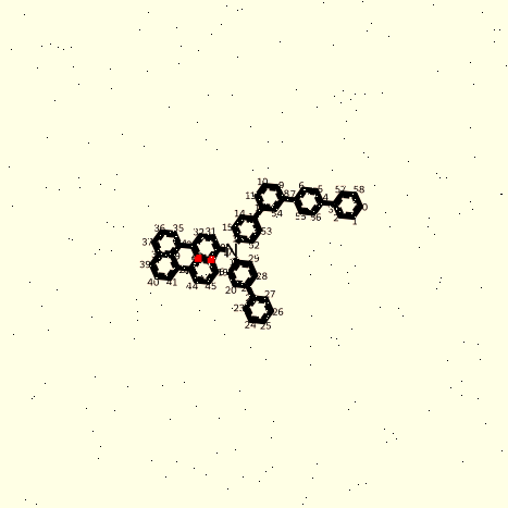 c1ccc(-c2ccc(-c3cccc(-c4ccc(N(c5ccc(-c6ccccc6)cc5)c5ccc(-c6cccc7cccc(-c8ccccc8)c67)cc5)cc4)c3)cc2)cc1